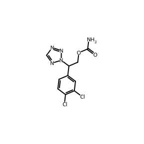 NC(=O)OCC(c1ccc(Cl)c(Cl)c1)n1ncnn1